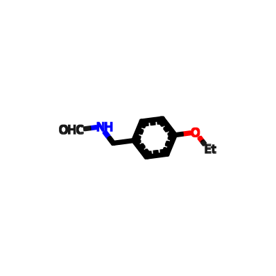 CCOc1ccc(CNC=O)cc1